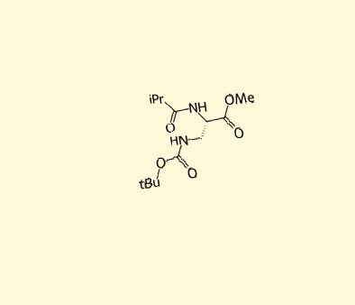 COC(=O)[C@H](CNC(=O)OC(C)(C)C)NC(=O)C(C)C